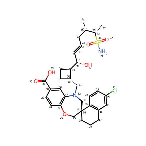 C[C@@H](C/C=C/[C@H](O)[C@@H]1CC[C@H]1CN1C[C@@]2(CCCc3cc(Cl)ccc32)COc2ccc(C(=O)O)cc21)[C@H](C)S(N)(=O)=O